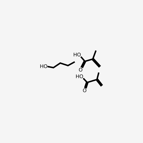 C=C(C)C(=O)O.C=C(C)C(=O)O.CCCCO